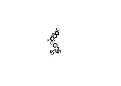 Fc1cc(Cl)ccc1Cc1ncc(F)c(OC2CCN(Cc3nccn3C[C@@H]3CCO3)CC2)n1